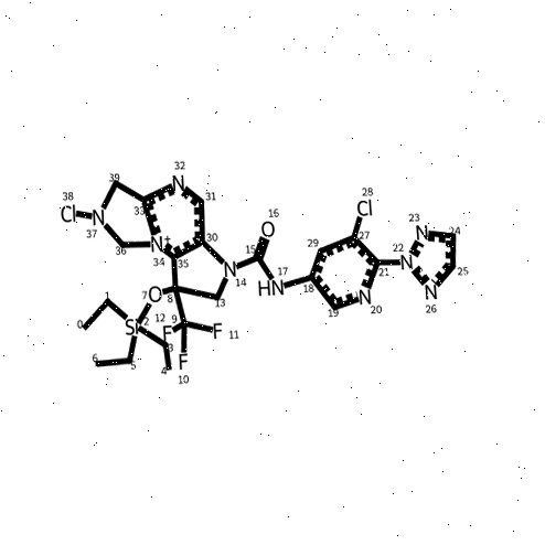 CC[Si](CC)(CC)OC1(C(F)(F)F)CN(C(=O)Nc2cnc(-n3nccn3)c(Cl)c2)c2cnc3[n+](c21)CN(Cl)C3